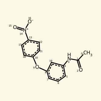 CC(=O)Nc1cccc(Oc2ccc([N+](=O)[O-])cc2)c1